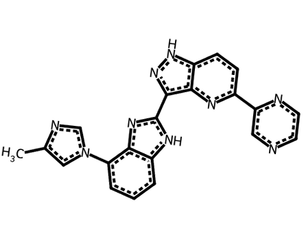 Cc1cn(-c2cccc3[nH]c(-c4n[nH]c5ccc(-c6cnccn6)nc45)nc23)cn1